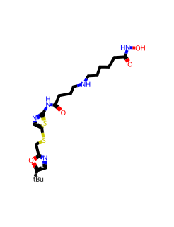 CC(C)(C)c1cnc(CSc2cnc(NC(=O)CCCNCCCCCC(=O)NO)s2)o1